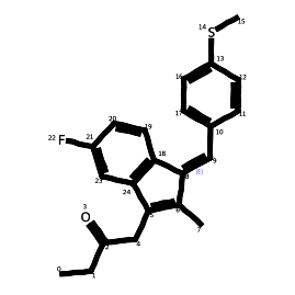 CCC(=O)CC1=C(C)/C(=C/c2ccc(SC)cc2)c2ccc(F)cc21